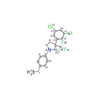 BCc1ccc(N2CCC(c3cc(Cl)cc(Cl)c3)(C(F)(F)F)C2)cc1